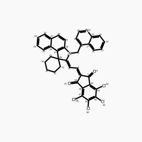 O=C1C(=C/C=C2\N(Cc3ccnc4ccccc34)c3ccc4ccccc4c3C23CCCCC3)C(=O)c2c(Cl)c(Cl)c(Cl)c(Cl)c21